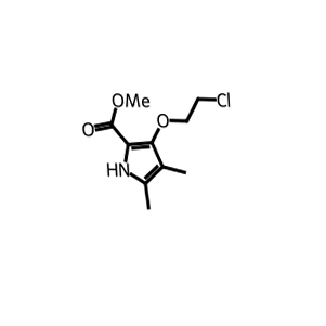 COC(=O)c1[nH]c(C)c(C)c1OCCCl